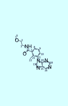 COCCNC(=O)c1cccc(-n2cnc3cncnc32)c1C